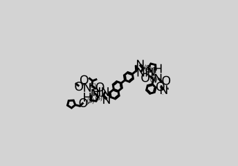 COC(=O)N[C@H](C(=O)N1C[C@@H](COCC2CCCC2)C[C@H]1c1nc2ccc3cc(-c4ccc(-c5cnc([C@@H]6CCCN6C(=O)[C@H](NC(=O)ON(C)C)c6ccccc6)[nH]5)cc4)ccc3c2[nH]1)C(C)C